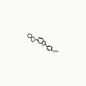 COc1ccc(-c2nc3ccc(N4CCC5(CCCC5)C4)nc3o2)cc1